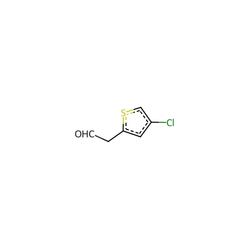 O=CCc1cc(Cl)cs1